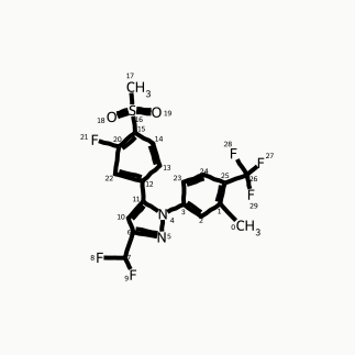 Cc1cc(-n2nc(C(F)F)cc2-c2ccc(S(C)(=O)=O)c(F)c2)ccc1C(F)(F)F